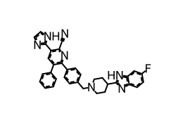 N#Cc1nc(-c2ccc(CN3CCC(c4nc5ccc(F)cc5[nH]4)CC3)cc2)c(-c2ccccc2)cc1-c1ncc[nH]1